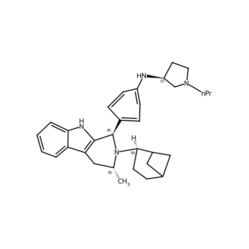 CCCN1CC[C@H](Nc2ccc([C@@H]3c4[nH]c5ccccc5c4C[C@@H](C)N3[C@@H]3CCC4CC3C4)cc2)C1